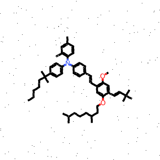 CCCCCC(C)(C)c1ccc(N(c2ccc(C=Cc3cc(OCCC(C)CCCC(C)C)c(C=CC(C)(C)C)cc3OC)cc2)c2ccc(C)cc2C)cc1